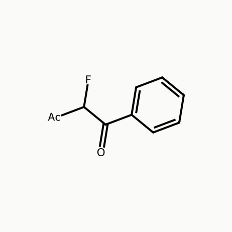 CC(=O)C(F)C(=O)c1ccccc1